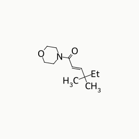 CCC(C)(C)/C=C/C(=O)N1CCOCC1